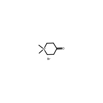 C[N+]1(C)CCC(=O)CC1.[Br-]